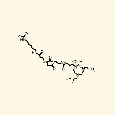 CC(C)C(=O)NCCCCCNC(=O)CCSC1CC(=O)N(CCNC(=O)CCC(C(=O)O)N2CCN(CC(=O)O)CCN(CC(=O)O)CC2)C1=O